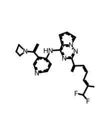 C=C(/C=C\C=C(/C)C(F)F)c1nc(Nc2ccncc2C(=C)N2CCC2)c2cccn2n1